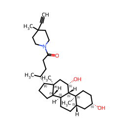 C#CC1(C)CCN(C(=O)CCC(C)[C@H]2CC[C@H]3[C@@H]4CC[C@H]5C[C@@H](O)CC[C@]5(C)[C@H]4[C@@H](O)C[C@]23C)CC1